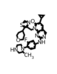 CC1CNCCN1c1ccc(Nc2ncc3cc(C4CC4)c(=O)n(Cc4ncsc4C4CCOCC4)c3n2)cc1F